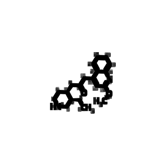 CC[C@H]1CNCC[C@H]1CC(=O)Cc1cc(OC)nc2ccccc12